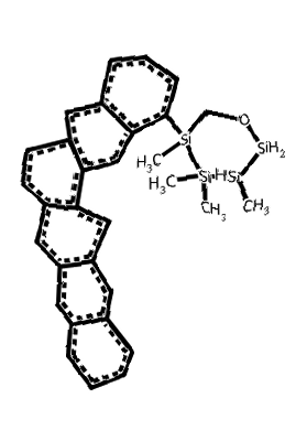 C[SiH]1[SiH2]OC[Si](C)(c2cccc3cc4ccc5cc6cc7ccccc7cc6cc5c4cc23)[Si]1(C)C